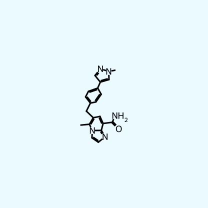 Cc1c(Cc2ccc(-c3cnn(C)c3)cc2)cc(C(N)=O)c2nccn12